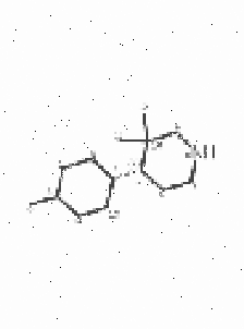 CC1CCC([C@H]2CCNCC2(C)C)CC1